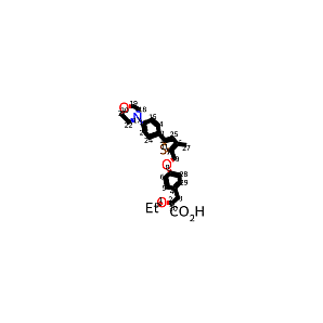 CCOC(Cc1ccc(OCc2sc(-c3ccc(N4CCOCC4)cc3)cc2C)cc1)C(=O)O